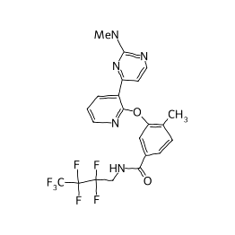 CNc1nccc(-c2cccnc2Oc2cc(C(=O)NCC(F)(F)C(F)(F)C(F)(F)F)ccc2C)n1